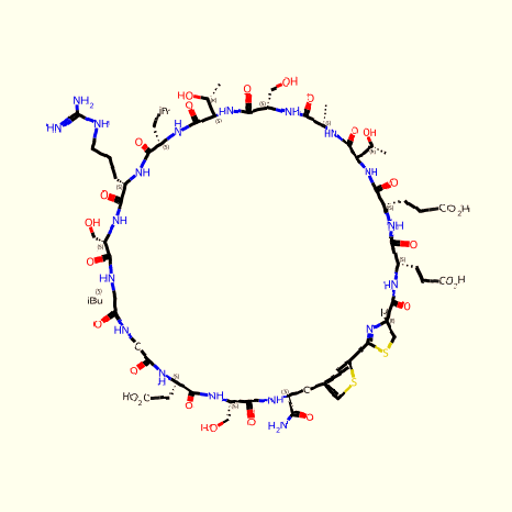 CC[C@H](C)C1NC(=O)[C@H](CO)NC(=O)[C@H](CCCNC(=N)N)NC(=O)[C@H](CC(C)C)NC(=O)[C@H]([C@@H](C)O)NC(=O)[C@H](CO)NC(=O)[C@H](C)NC(=O)C([C@@H](C)O)NC(=O)[C@H](CCC(=O)O)NC(=O)[C@H](CCC(=O)O)NC(=O)[C@@H]2CSC(=N2)c2cc(cs2)C[C@@H](C(N)=O)NC(=O)[C@H](CO)NC(=O)[C@H](CC(=O)O)NC(=O)CNC1=O